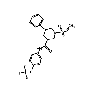 C=CS(=O)(=O)N1CC(C(=O)Nc2ccc(OC(F)(F)F)cc2)CC(c2ccccc2)C1